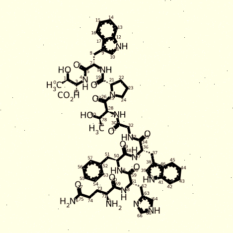 C[C@@H](O)[C@H](NC(=O)[C@H](Cc1c[nH]c2ccccc12)NC(=O)[C@@H]1CCCN1C(=O)[C@@H](NC(=O)CNC(=O)[C@H](Cc1c[nH]c2ccccc12)NC(=O)[C@H](Cc1ccccc1)NC(=O)[C@H](Cc1c[nH]cn1)NC(=O)[C@@H](N)CCC(N)=O)[C@@H](C)O)C(=O)O